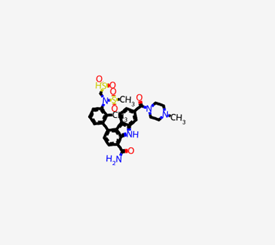 Cc1c(-c2ccc(C(N)=O)c3[nH]c4cc(C(=O)N5CCN(C)CC5)ccc4c23)cccc1N(C[SH](=O)=O)S(C)(=O)=O